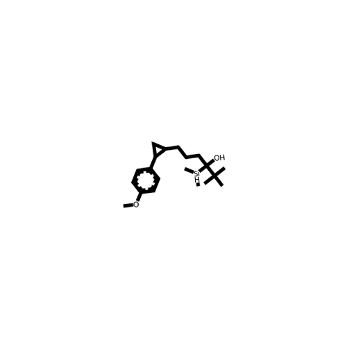 COc1ccc(C2CC2CCCC(O)([SiH](C)C)C(C)(C)C)cc1